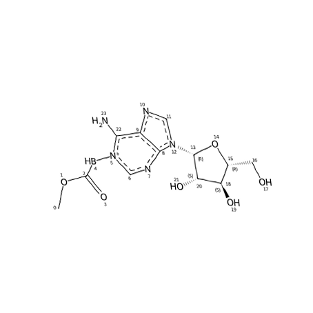 COC(=O)B[n+]1cnc2c(ncn2[C@@H]2O[C@H](CO)[C@@H](O)[C@@H]2O)c1N